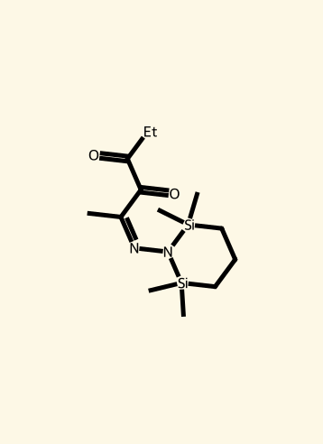 CCC(=O)C(=O)C(C)=NN1[Si](C)(C)CCC[Si]1(C)C